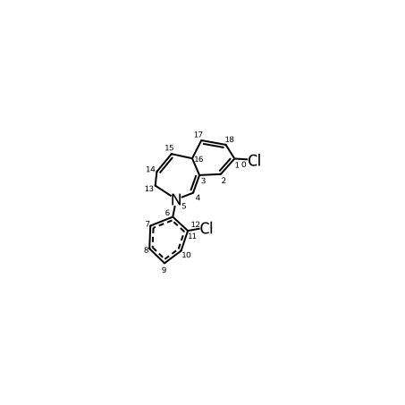 ClC1=CC2=CN(c3ccccc3Cl)CC=CC2C=C1